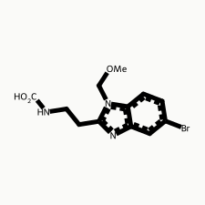 COCn1c(CCNC(=O)O)nc2cc(Br)ccc21